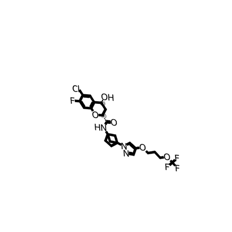 O=C(NC12CCC(n3cc(OCCCOC(F)(F)F)cn3)(C1)C2)[C@H]1C[C@@H](O)c2cc(Cl)c(F)cc2O1